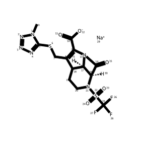 Cn1nnnc1SCC1=C(C(=O)[O-])N2C(=O)[C@@H]3[C@H]2C1CCN3S(=O)(=O)C(F)(F)F.[Na+]